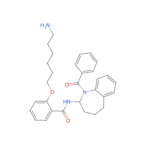 NCCCCCCOc1ccccc1C(=O)NC1CCCc2ccccc2N1C(=O)c1ccccc1